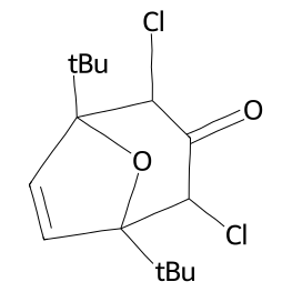 CC(C)(C)C12C=CC(C(C)(C)C)(O1)C(Cl)C(=O)C2Cl